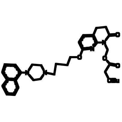 CC(C)COCC(=O)OCN1C(=O)CCc2ccc(OCCCCN3CCN(c4cccc5ccccc45)CC3)nc21